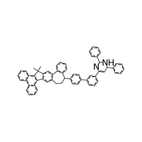 CC1(C)c2cc3c(cc2-c2c1c1ccccc1c1ccccc21)CCC(c1ccc(-c2cccc(C4=CC(c5ccccc5)NC(c5ccccc5)=N4)c2)cc1)c1ccccc1-3